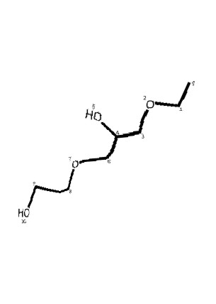 CCOCC(O)COCCO